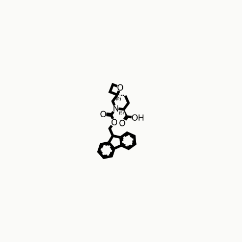 O=C(O)[C@@H]1CC[C@@]2(CCO2)CN1C(=O)OCC1c2ccccc2-c2ccccc21